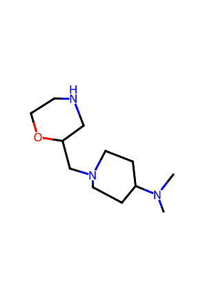 CN(C)C1CCN(CC2CNCCO2)CC1